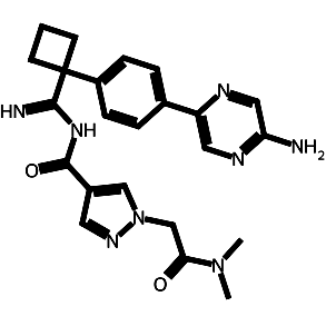 CN(C)C(=O)Cn1cc(C(=O)NC(=N)C2(c3ccc(-c4cnc(N)cn4)cc3)CCC2)cn1